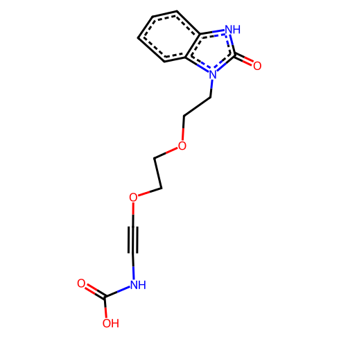 O=C(O)NC#COCCOCCn1c(=O)[nH]c2ccccc21